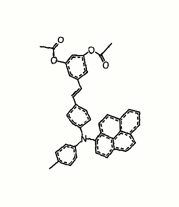 CC(=O)Oc1cc(C=Cc2ccc(N(c3ccc(C)cc3)c3ccc4ccc5cccc6ccc3c4c56)cc2)cc(OC(C)=O)c1